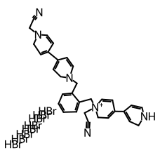 Br.Br.Br.Br.Br.Br.Br.Br.N#CCN1C=CC(C2=CCN(Cc3ccccc3C[N+]3(CC#N)C=CC(C4=CCNC=C4)=CC3)C=C2)=CC1